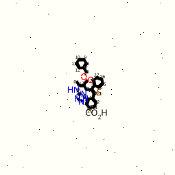 CC1=C(C(=O)OCc2ccccc2)C(c2c(-c3ccc(C(=O)O)cc3)sc3ccccc23)n2nnnc2N1